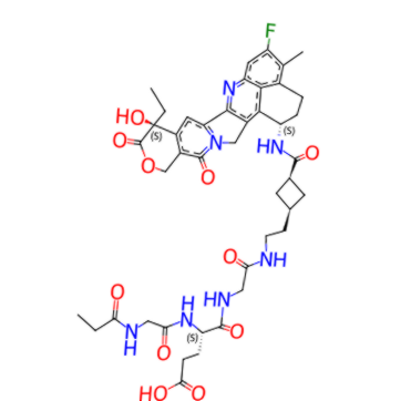 CCC(=O)NCC(=O)N[C@@H](CCC(=O)O)C(=O)NCC(=O)NCC[C@H]1C[C@@H](C(=O)N[C@H]2CCc3c(C)c(F)cc4nc5c(c2c34)Cn2c-5cc3c(c2=O)COC(=O)[C@]3(O)CC)C1